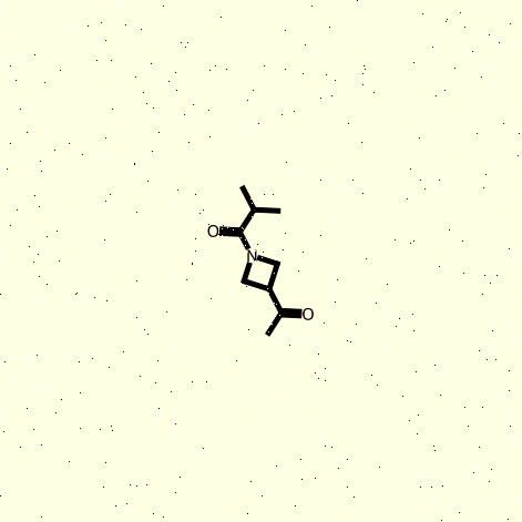 CC(=O)C1CN(C(=O)C(C)C)C1